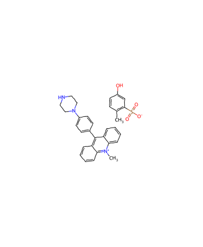 C[n+]1c2ccccc2c(-c2ccc(N3CCNCC3)cc2)c2ccccc21.Cc1ccc(O)cc1S(=O)(=O)[O-]